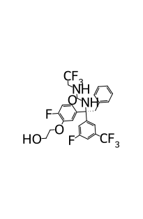 O=C(NCC(F)(F)F)N[C@@](Cc1ccccc1)(c1cc(F)cc(C(F)(F)F)c1)c1ccc(F)c(OCCO)c1